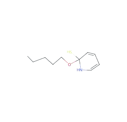 CCCCCOC1(S)C=CC=CN1